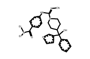 CCN(CC)C(=O)c1ccc(N/C(=N/C#N)N2CCC(C(O)(c3ccccc3)c3ccoc3)CC2)cc1